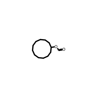 O=[C]OC1CCCCCCCCCCC1